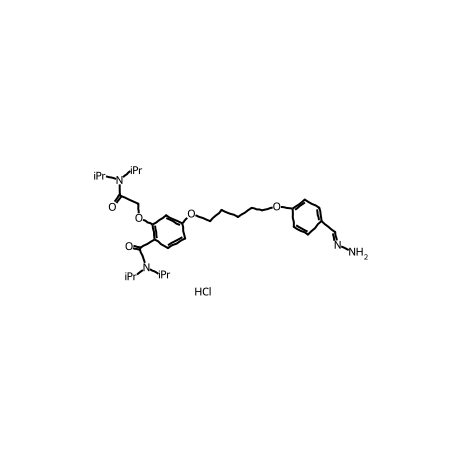 CC(C)N(C(=O)COc1cc(OCCCCCOc2ccc(C=NN)cc2)ccc1C(=O)N(C(C)C)C(C)C)C(C)C.Cl